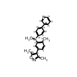 Cc1ccc(-c2c(C)noc2C)cc1N(C)c1ccc(-c2cccnc2)cc1